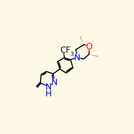 C=C1C=CC(c2ccc(N3C[C@@H](C)O[C@@H](C)C3)c(C(F)(F)F)c2)=NN1